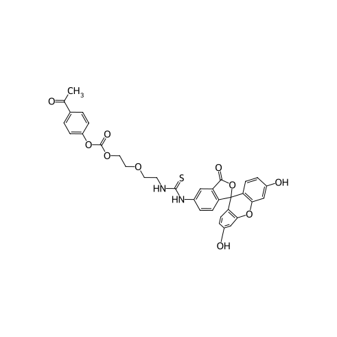 CC(=O)c1ccc(OC(=O)OCCOCCNC(=S)Nc2ccc3c(c2)C(=O)OC32c3ccc(O)cc3Oc3cc(O)ccc32)cc1